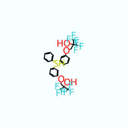 OC(COc1cccc([SH](c2ccccc2)c2cccc(OCC(O)(C(F)(F)F)C(F)(F)F)c2)c1)(C(F)(F)F)C(F)(F)F